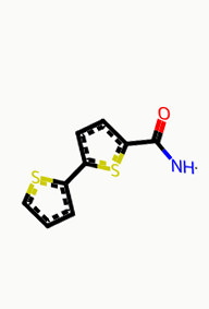 [NH]C(=O)c1ccc(-c2cccs2)s1